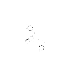 CN(CCNc1nc2nonc2nc1Nc1ccc(Cl)c(Cl)c1)c1ccncc1